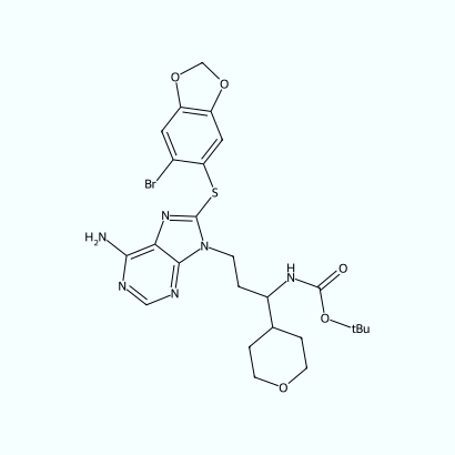 CC(C)(C)OC(=O)NC(CCn1c(Sc2cc3c(cc2Br)OCO3)nc2c(N)ncnc21)C1CCOCC1